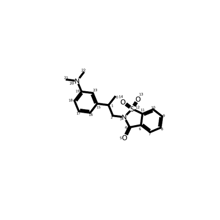 CC(CN1C(=O)c2ccccc2S1(=O)=O)c1cccc(N(C)C)c1